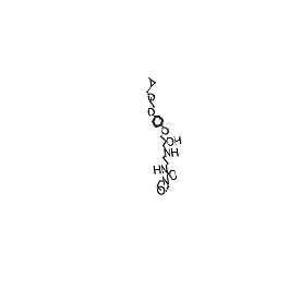 O=C(NCCNCC(O)COc1ccc(OCCOCC2CC2)cc1)N1CCOCC1